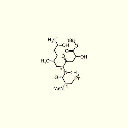 CN[C@@H](CC(C)C)C(=O)N(C)[C@@H](CC(C)CCC(C)O)C(=O)CC(O)C(=O)OC(C)(C)C